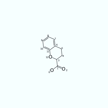 [O]C(=O)C1CCc2ccccc2O1